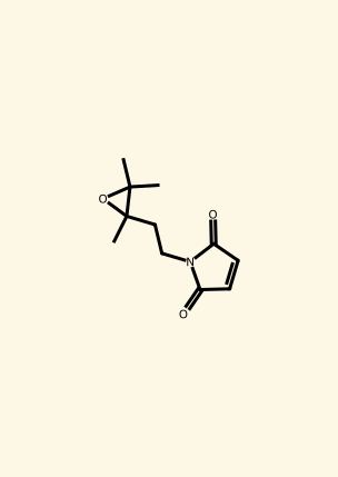 CC1(C)OC1(C)CCN1C(=O)C=CC1=O